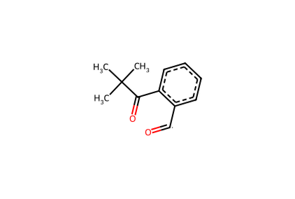 CC(C)(C)C(=O)c1ccccc1[C]=O